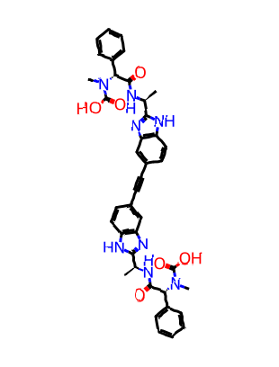 C[C@H](NC(=O)[C@@H](c1ccccc1)N(C)C(=O)O)c1nc2cc(C#Cc3ccc4[nH]c([C@H](C)NC(=O)[C@@H](c5ccccc5)N(C)C(=O)O)nc4c3)ccc2[nH]1